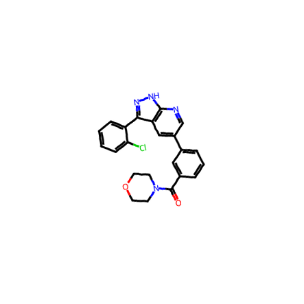 O=C(c1cccc(-c2cnc3[nH]nc(-c4ccccc4Cl)c3c2)c1)N1CCOCC1